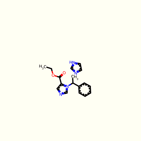 CCOC(=O)c1cncn1C(C)c1ccccc1.c1c[nH]cn1